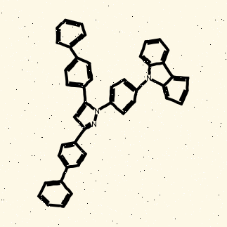 c1ccc(-c2ccc(-c3cc(-c4ccc(-c5ccccc5)cc4)n(-c4ccc(-n5c6ccccc6c6ccccc65)cc4)n3)cc2)cc1